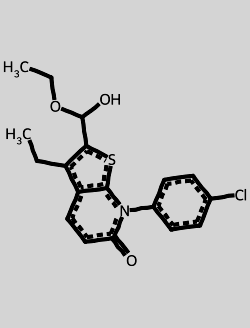 CCOC(O)c1sc2c(ccc(=O)n2-c2ccc(Cl)cc2)c1CC